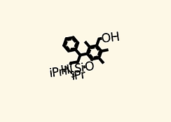 Cc1c(C)c(O[SiH3])c(C(CCN(C(C)C)C(C)C)c2ccccc2)c(C)c1CO